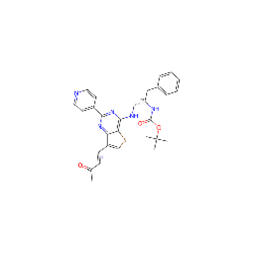 CC(=O)/C=C/c1csc2c(NC[C@H](Cc3ccccc3)NC(=O)OC(C)(C)C)nc(-c3ccncc3)nc12